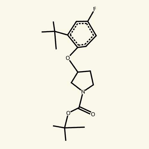 CC(C)(C)OC(=O)N1CCC(Oc2ccc(F)cc2C(C)(C)C)C1